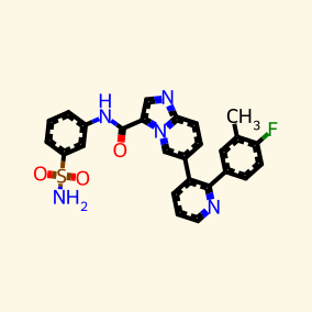 Cc1cc(-c2ncccc2-c2ccc3ncc(C(=O)Nc4cccc(S(N)(=O)=O)c4)n3c2)ccc1F